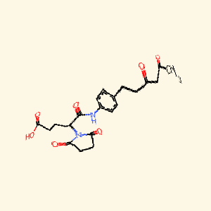 CC(=O)CC(=O)CCc1ccc(NC(=O)C(CCC(=O)O)N2C(=O)CCC2=O)cc1